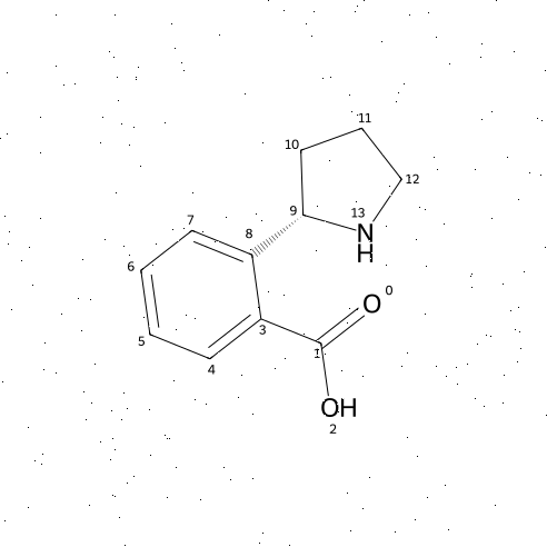 O=C(O)c1ccccc1[C@@H]1CCCN1